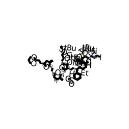 C=C1C[C@H](CCC2OCCCO2)O[C@H]1CC[C@H]1C[C@@H](C)C(=C)[C@@H](C[C@@H]2O[C@H](CC(CO[Si](C)(C)C(C)(C)C)O[Si](C)(C)C(C)(C)C)[C@H](OC)[C@H]2CC[C@@H](c2cc([SH](=O)=O)ccc2CC)C2CC[C@@H]3O[C@@H](C(/C=C/I)O[Si](C)(C)C(C)(C)C)C(O[Si](C)(C)C(C)(C)C)C(O[Si](C)(C)C(C)(C)C)[C@H]3O2)O1